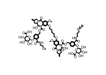 C=C1CC2C(O)N(C(=O)OCc3ccc(O[C@@H]4O[C@H](C(=O)O)[C@@H](O)[C@H](O)[C@H]4O)c(C(=O)NCCOC)c3)c3cc(OCCCCCOc4cc5c(cc4OC)C(=O)N4CC(=C)C[C@H]4C(O)N5C(=O)OCc4ccc(O[C@@H]5O[C@H](C(=O)O)[C@@H](O)[C@H](O)[C@H]5O)c(C(=O)NCCCN=[N+]=[N-])c4)c(OC)cc3C(=O)N2C1